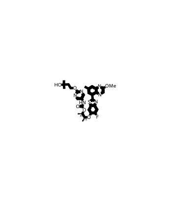 COc1cnc2c(-c3nc4cc(F)c(O[C@@H](C)[C@@H](C)OC(=O)Nc5cnc(OCCC(C)(C)O)nc5)cc4s3)cc(C)cc2n1